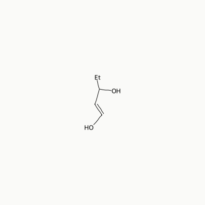 CCC(O)C=CO